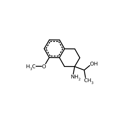 COc1cccc2c1CC(N)(C(C)O)CC2